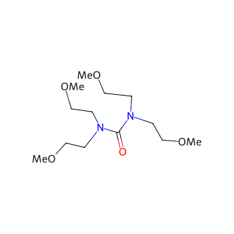 COCCN(CCOC)C(=O)N(CCOC)CCOC